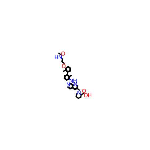 CC(=O)NCCCOc1cccc(-c2cccc(Nc3nccc4cc(CN5CCCCC5C(=O)O)cnc34)c2C)c1C